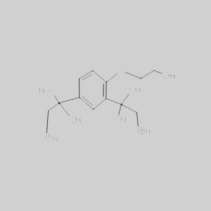 CC(C)(C)CC(C)(C)c1ccc(OCCO)c(C(C)(C)CC(C)(C)C)c1